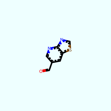 O=Cc1cnc2ncsc2c1